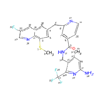 CSc1cc(Cc2cc(C(=O)NCc3c(C)cc(N)nc3C(F)(F)F)ccn2)cc2cc(F)cnc12